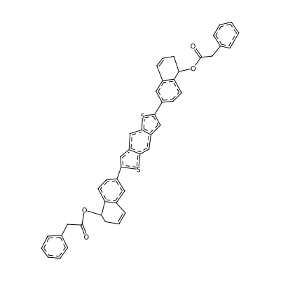 O=C(Cc1ccccc1)OC1CC=Cc2cc(-c3cc4cc5sc(-c6ccc7c(c6)C=CCC7OC(=O)Cc6ccccc6)cc5cc4s3)ccc21